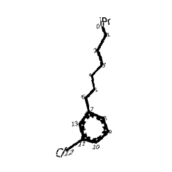 CC(C)CCCCCCc1cccc(Cl)c1